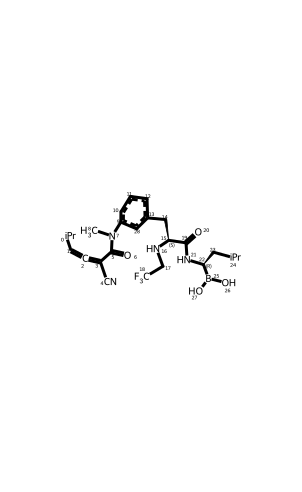 CC(C)C=C=C(C#N)C(=O)N(C)c1cccc(C[C@H](NCC(F)(F)F)C(=O)N[C@@H](CC(C)C)B(O)O)c1